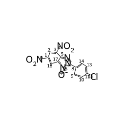 O=[N+]([O-])c1cc([N+](=O)[O-])c2nn(-c3ccc(Cl)cc3)[n+]([O-])c2c1